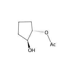 CC(=O)O[C@H]1CCC[C@@H]1O